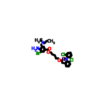 CCCN(C)Cc1cc(C(=O)OCCCCCOC(=O)Cc2ccccc2Nc2c(Cl)cccc2Cl)cc(Br)c1N